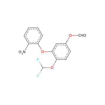 O=COc1ccc(OC(F)F)c(Oc2ccccc2[N+](=O)[O-])c1